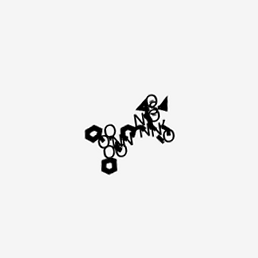 C[C@H]1COCCN1c1cc(C2(S(=O)(=O)C3CC3)CC2)nc(-c2ccc(N(C(=O)Oc3ccccc3)C(=O)Oc3ccccc3)nc2)n1